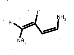 CC(C)/C(N)=C(I)/C=C\N